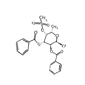 C[C@@H]1O[C@@H](Cl)[C@@H](OC(=O)c2ccccc2)[C@H](OC(=O)c2ccccc2)[C@@H]1OS(C)(=O)=O